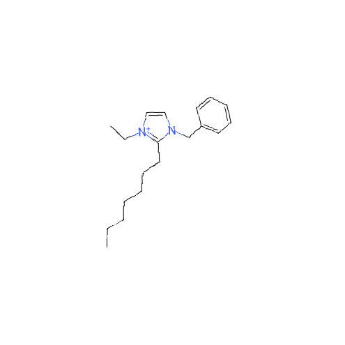 CCCCCCCc1n(Cc2ccccc2)cc[n+]1CC